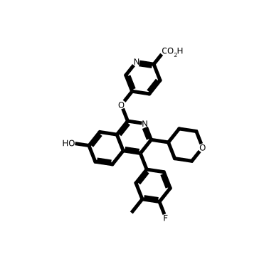 Cc1cc(-c2c(C3CCOCC3)nc(Oc3ccc(C(=O)O)nc3)c3cc(O)ccc23)ccc1F